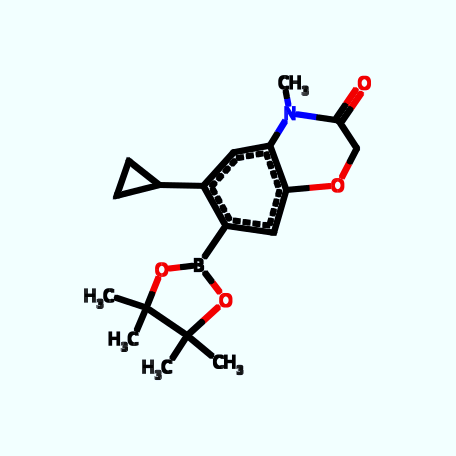 CN1C(=O)COc2cc(B3OC(C)(C)C(C)(C)O3)c(C3CC3)cc21